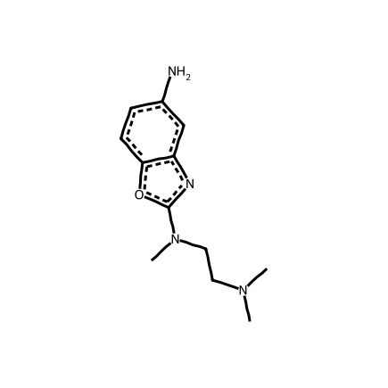 CN(C)CCN(C)c1nc2cc(N)ccc2o1